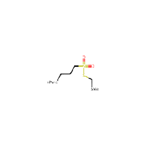 CCCCCCCCS(=O)(=O)SCSC